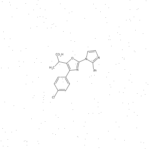 CC(C)c1nccn1-c1nc(-c2ccc(Cl)cc2)c(C(C)C(=O)O)o1